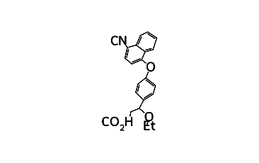 [C-]#[N+]c1ccc(Oc2ccc(C(CC(=O)O)OCC)cc2)c2ccccc12